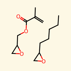 C=C(C)C(=O)OCC1CO1.CCCCCC1CO1